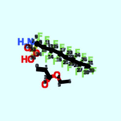 C=CC(=O)OCC.NC(F)(C(F)(F)C(F)(F)C(F)(F)C(F)(F)C(F)(F)C(F)(F)C(F)(F)F)S(=O)(=O)O